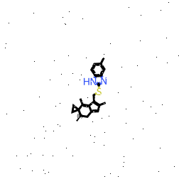 CC1=C(CSc2nc3cc(C)ccc3[nH]2)C2=C(C)C3(CC3)[C@H](C)CC2=C1